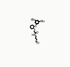 CCOCCCNC(=O)CS[C@@H]1CCCC[C@H]1Sc1cc(C(C)(C)C)cc(C(C)(C)C)c1